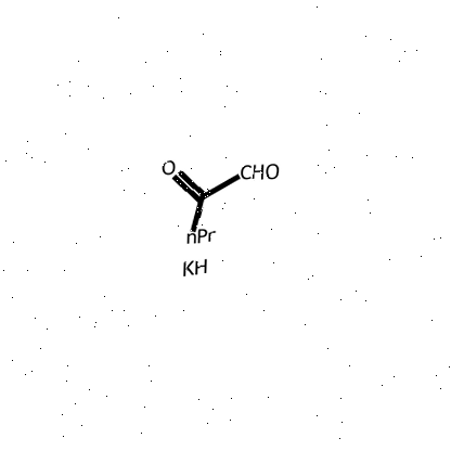 CCCC(=O)C=O.[KH]